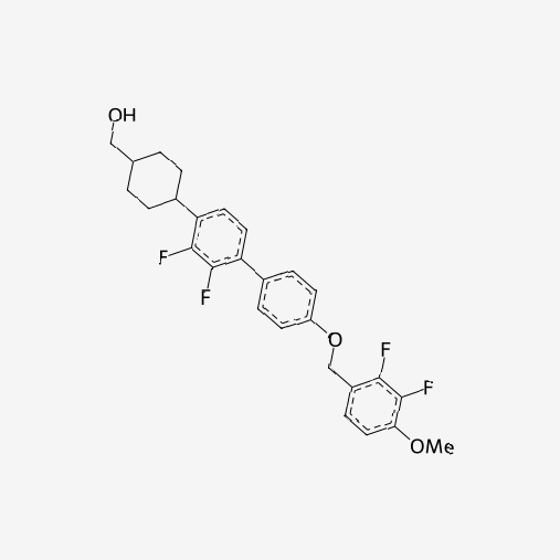 COc1ccc(COc2ccc(-c3ccc(C4CCC(CO)CC4)c(F)c3F)cc2)c(F)c1F